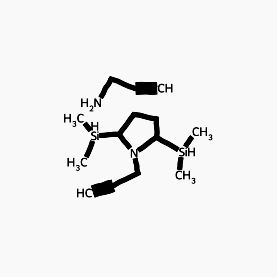 C#CCN.C#CCN1C([SiH](C)C)CCC1[SiH](C)C